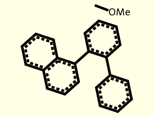 COC.c1ccc(-c2ccccc2-c2cccc3ccccc23)cc1